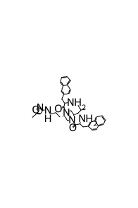 Cc1cc(NCCC[C@H]2CN(C(=O)C(N)Cc3ccc4ccccc4c3)[C@H](CC(C)C)CN2C(=O)C(N)Cc2ccc3ccccc3c2)no1